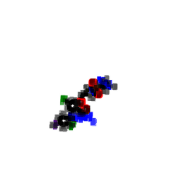 Cn1cnc(S(=O)(=O)N2CC(COc3cc(F)cc(Nc4ccc(I)cc4F)c3C(N)=O)C2)c1